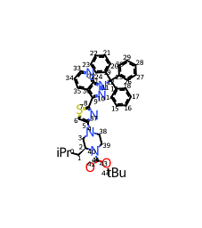 CC(C)C[C@H]1CN(c2csc(-c3nn(C(c4ccccc4)(c4ccccc4)c4ccccc4)c4ncccc34)n2)CCN1C(=O)OC(C)(C)C